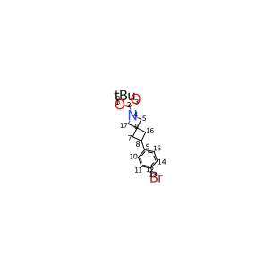 CC(C)(C)OC(=O)N1CC2(CC(c3ccc(Br)cc3)C2)C1